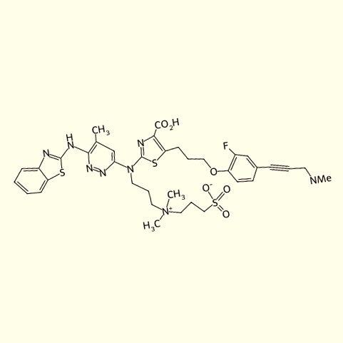 CNCC#Cc1ccc(OCCCc2sc(N(CCC[N+](C)(C)CCCS(=O)(=O)[O-])c3cc(C)c(Nc4nc5ccccc5s4)nn3)nc2C(=O)O)c(F)c1